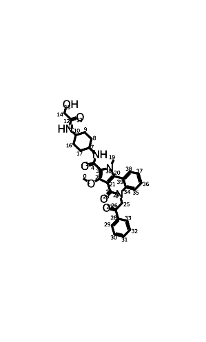 COc1c(C(=O)NC2CCC(NC(=O)CO)CC2)n(C)c2c1c(=O)n(CC(=O)c1ccccc1)c1ccccc21